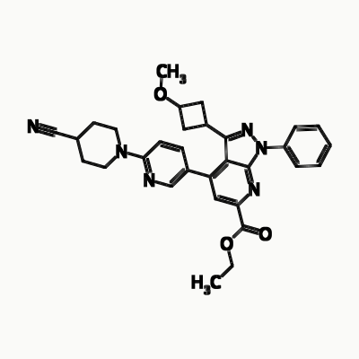 CCOC(=O)c1cc(-c2ccc(N3CCC(C#N)CC3)nc2)c2c(C3CC(OC)C3)nn(-c3ccccc3)c2n1